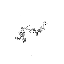 CCN[C@H]1C=C(S(=O)(=O)NC(=O)[C@H](C)OC(=O)[C@H](C)OC(=O)CCC(=O)Nc2ccc3c(c2)/C(=C/c2[nH]c(C)c(C(=O)NCCN(CC)CC)c2C)C(=O)N3)SC2=C1C[C@H](C)S2(=O)=O